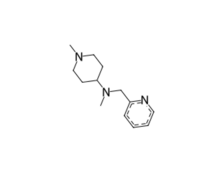 CN1CCC(N(C)Cc2ccccn2)CC1